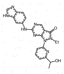 CCn1c(=O)c2cnc(Nc3ccc4nc[nH]c4c3)nc2n1-c1cccc(C(C)O)n1